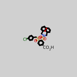 O=C(O)c1ccc(S(=O)(=O)Cc2ccc(Cl)cc2)c(S(=O)(=O)N(Cc2ccccc2)Cc2ccccc2)c1